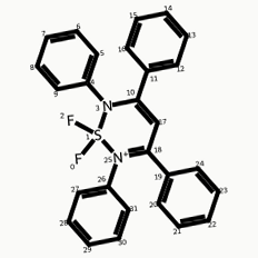 FS1(F)N(c2ccccc2)C(c2ccccc2)=CC(c2ccccc2)=[N+]1c1ccccc1